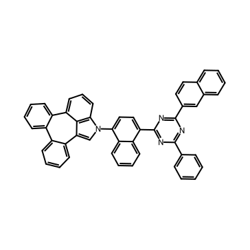 c1ccc(-c2nc(-c3ccc4ccccc4c3)nc(-c3ccc(-n4cc5c6c(cccc64)-c4ccccc4-c4ccccc4-5)c4ccccc34)n2)cc1